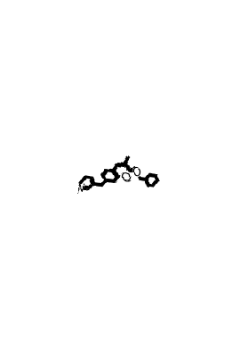 CC(=Cc1ccc(Cc2cccnc2)cc1)C(=O)OCc1ccccc1